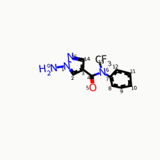 Nn1cc(C(=O)N(c2ccccc2)C(F)(F)F)cn1